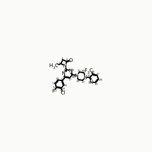 CC1CC(=O)N1c1nc(-c2ccc(F)c(Cl)c2)cc(N2CCN(c3ncccc3C(F)(F)F)CC2)n1